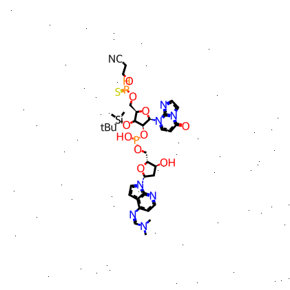 CN(C)/C=N\c1ccnc2c1ccn2[C@H]1C[C@H](O)[C@@H](COP(O)O[C@@H]2C(O[Si](C)(C)C(C)(C)C)[C@@H](CO[PH](=S)OCCC#N)O[C@H]2n2ccc(=O)n3ccnc23)O1